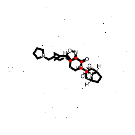 O=C(N[C@H]1C[C@H]2CC[C@@H](C1)N2S(=O)(=O)N1CCC(NCCCN2CCCC2)CC1)c1cc(C2CC2)on1